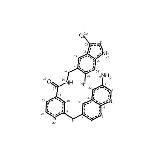 Nc1cnc2ccc(Cc3cc(C(=O)NCc4cc5c(Cl)c[nH]c5cc4F)ccn3)cc2c1